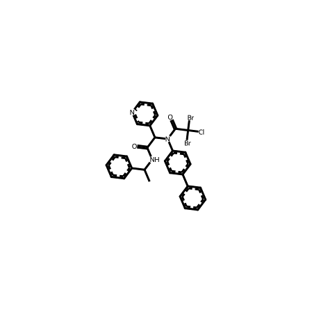 CC(NC(=O)C(c1cccnc1)N(C(=O)C(Cl)(Br)Br)c1ccc(-c2ccccc2)cc1)c1ccccc1